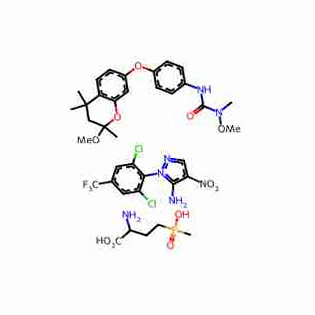 CON(C)C(=O)Nc1ccc(Oc2ccc3c(c2)OC(C)(OC)CC3(C)C)cc1.CP(=O)(O)CCC(N)C(=O)O.Nc1c([N+](=O)[O-])cnn1-c1c(Cl)cc(C(F)(F)F)cc1Cl